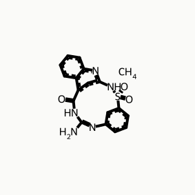 C.NC1=Nc2cccc(c2)S(=O)(=O)Nc2cc(c3ccccc3n2)C(=O)N1